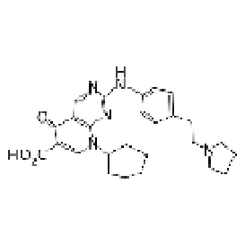 O=C(O)c1cn(C2CCCCC2)c2nc(Nc3ccc(CCN4CCCC4)cc3)ncc2c1=O